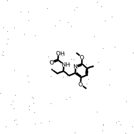 CCC(Cc1nc(OC)c(C)cc1OC)NC(=O)O